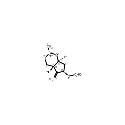 C=C1[C@H](OC=O)C[C@@H]2O[Si@H](C)OC[C@@H]12